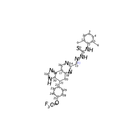 Cc1cccc(C)c1NC(=S)N/N=C/c1ncc2c(n1)CC(c1ccc(OC(F)(F)F)cc1)c1[nH]cnc1-2